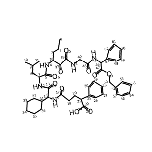 CCCC(NC(=O)[C@H](CC(C)C)NC(=O)[C@@H](NC(=O)CCC(C(=O)O)c1ccccc1)C1CCCCC1)C(=O)C(=O)NCC(=O)NC(C(=O)OCc1ccccc1)c1ccccc1